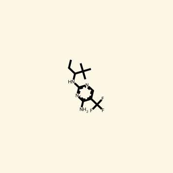 CCC(Nc1ncc(C(F)(F)F)c(N)n1)C(C)(C)C